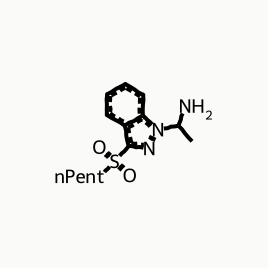 CCCCCS(=O)(=O)c1nn(C(C)N)c2ccccc12